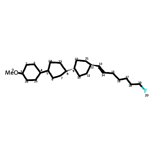 COC1CCC(C2CCC([C@H]3CC[C@H](/C=C/CCCCCF)CC3)CC2)CC1